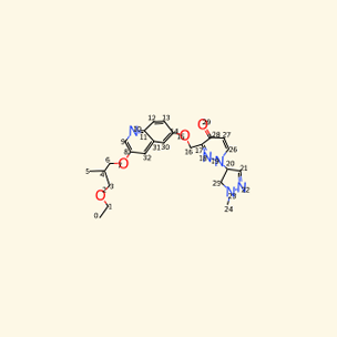 CCOCC(C)COc1cnc2ccc(OCc3nn(C4C=NN(C)C4)ccc3=O)cc2c1